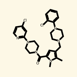 Cc1c(CN2CCN(c3ccccc3Cl)CC2)cc(C(=O)N2CCN(c3cc(Cl)ccn3)CC2)n1C